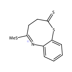 CS/C1=N/c2ccccc2SC(=S)CC1